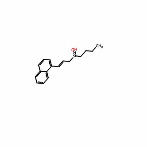 CCCC[SiH](O)CC=Cc1cccc2ccccc12